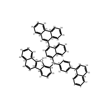 c1ccc2c(-c3ccc(N(c4ccc(-c5cc6ccccc6c6ccccc56)c5ccccc45)c4cccc5c4oc4c6ccccc6ccc54)cc3)cccc2c1